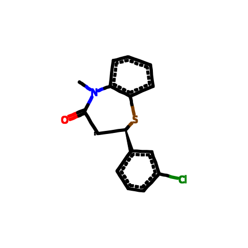 CN1C(=O)[C][C@H](c2cccc(Cl)c2)Sc2ccccc21